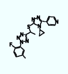 Cc1ccc(F)c(-n2nnc(C(C)Sc3nnc(-c4ccncc4)n3C3CC3)n2)c1